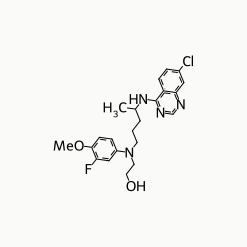 COc1ccc(N(CCO)CCCC(C)Nc2ncnc3cc(Cl)ccc23)cc1F